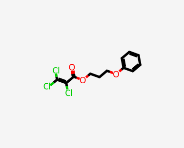 O=C(OCCCOc1ccccc1)C(Cl)=C(Cl)Cl